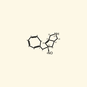 O=N[C@@]1(CC2=CC=CC=CC2)C=C2CNCC2C1